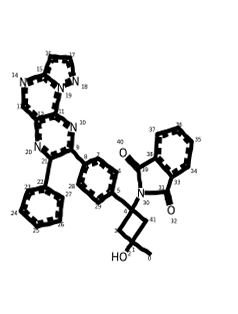 CC1(O)CC(c2ccc(-c3nc4c(cnc5ccnn54)nc3-c3ccccc3)cc2)(N2C(=O)c3ccccc3C2=O)C1